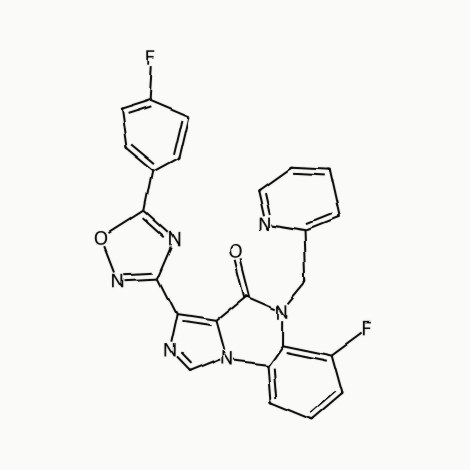 O=c1c2c(-c3noc(-c4ccc(F)cc4)n3)ncn2c2cccc(F)c2n1Cc1ccccn1